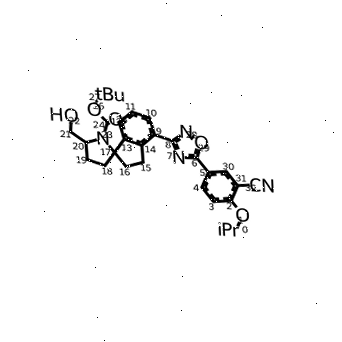 CC(C)Oc1ccc(-c2nc(-c3cccc4c3CCC43CCC(CO)N3C(=O)OC(C)(C)C)no2)cc1C#N